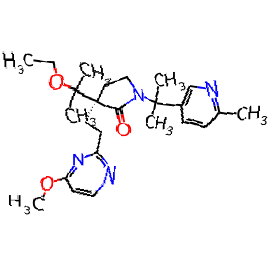 CCOC(C)(C)[C@@]1(CCc2nccc(OC)n2)CCN(C(C)(C)c2ccc(C)nc2)C1=O